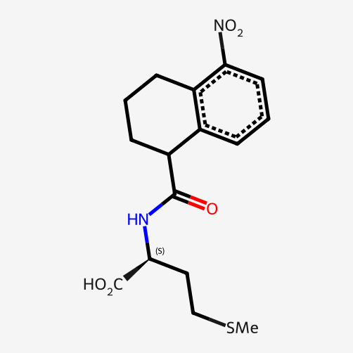 CSCC[C@H](NC(=O)C1CCCc2c1cccc2[N+](=O)[O-])C(=O)O